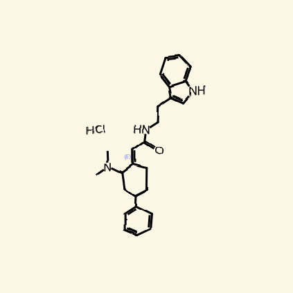 CN(C)C1CC(c2ccccc2)CC/C1=C\C(=O)NCCc1c[nH]c2ccccc12.Cl